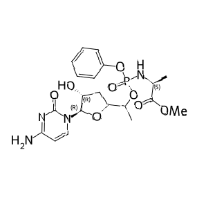 COC(=O)[C@H](C)NP(=O)(Oc1ccccc1)OC(C)C1C[C@@H](O)[C@H](n2ccc(N)nc2=O)O1